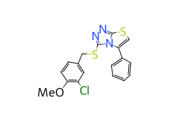 COc1ccc(CSc2nnc3scc(-c4ccccc4)n23)cc1Cl